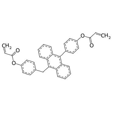 C=CC(=O)Oc1ccc(Cc2c3ccccc3c(-c3ccc(OC(=O)C=C)cc3)c3ccccc23)cc1